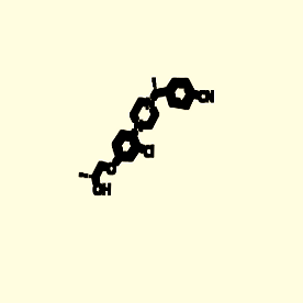 C[C@H](c1ccc(C#N)cc1)N1CCN(c2ccc(OC[C@@H](C)O)cc2Cl)CC1